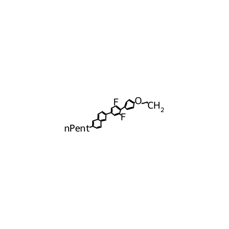 C=CCOc1ccc(-c2c(F)cc(-c3ccc4cc(CCCCC)ccc4c3)cc2F)cc1